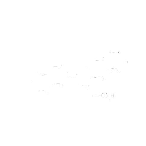 O=C(O)/C=C(/CCc1ccc2ccccc2c1)c1ccc2ccccc2c1